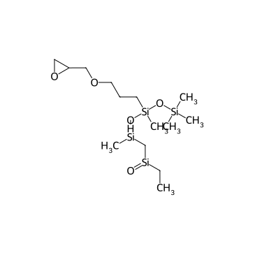 CC[Si](=O)C[SiH](C)O[Si](C)(CCCOCC1CO1)O[Si](C)(C)C